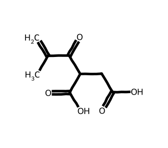 C=C(C)C(=O)C(CC(=O)O)C(=O)O